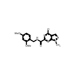 COc1ccc(CNC(=O)c2nc(Cl)c3cnn(C)c3n2)c(OC)c1